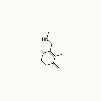 C=C1CCNC(CNC)=C1C